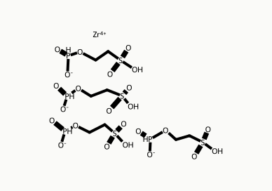 O=[PH]([O-])OCCS(=O)(=O)O.O=[PH]([O-])OCCS(=O)(=O)O.O=[PH]([O-])OCCS(=O)(=O)O.O=[PH]([O-])OCCS(=O)(=O)O.[Zr+4]